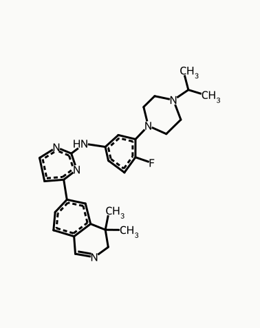 CC(C)N1CCN(c2cc(Nc3nccc(-c4ccc5c(c4)C(C)(C)CN=C5)n3)ccc2F)CC1